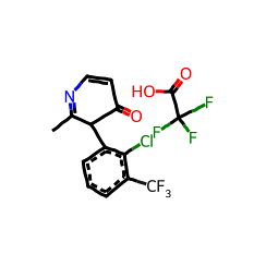 CC1=NC=CC(=O)C1c1cccc(C(F)(F)F)c1Cl.O=C(O)C(F)(F)F